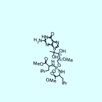 COC(=O)C(CC(C)C)NP(=O)(NC(CC(C)C)C(=O)OC)OC[C@@H](OC)[C@H](O)C(C)(O)n1cnc2c(=O)[nH]c(N)nc21